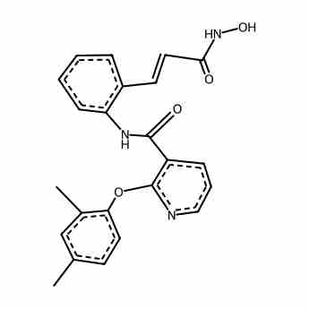 Cc1ccc(Oc2ncccc2C(=O)Nc2ccccc2C=CC(=O)NO)c(C)c1